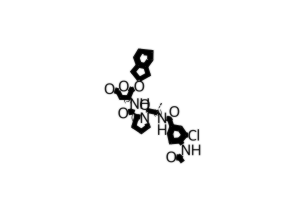 CC(=O)Nc1ccc(C(=O)N[C@@H](C)C(=O)N2CCC[C@H]2C(=O)N[C@H]2CC(=O)OC2OC2Cc3ccccc3C2)cc1Cl